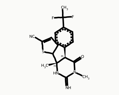 CN1C(=N)N[C@](C)(C2CC=C(C#N)S2)[C@@H](c2ccc(C(C)(F)F)cc2)C1=O